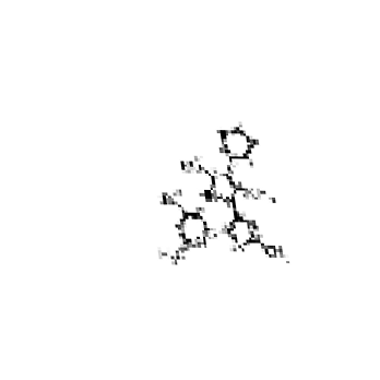 CC1=C(c2ccccc2)C(C(C)(C)C)NN1c1nc(C)sc1-c1cc(C(C)(C)C)nc(C)n1